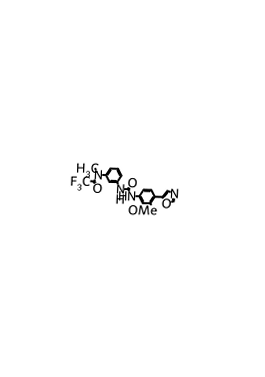 COc1cc(NC(=O)Nc2cccc(N(C)C(=O)C(F)(F)F)c2)ccc1-c1cnco1